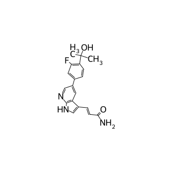 CC(C)(O)c1ccc(-c2cnc3[nH]cc(C=CC(N)=O)c3c2)cc1F